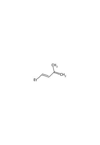 C=C(C)C=CCC